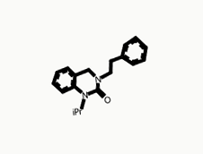 CC(C)N1C(=O)N(CCc2ccccc2)Cc2ccccc21